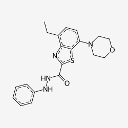 CCc1ccc(N2CCOCC2)c2sc(C(=O)NNc3ccccc3)nc12